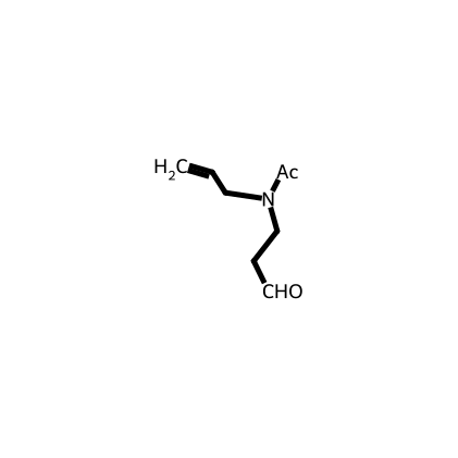 C=CCN(CCC=O)C(C)=O